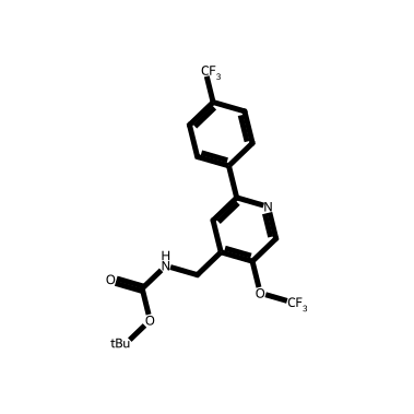 CC(C)(C)OC(=O)NCc1cc(-c2ccc(C(F)(F)F)cc2)ncc1OC(F)(F)F